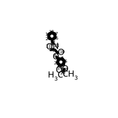 CC1(C)Oc2ccc(OC(=O)C3COC(c4ccccc4)=N3)cc2O1